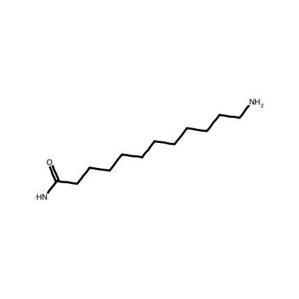 [NH]C(=O)CCCCCCCCCCCN